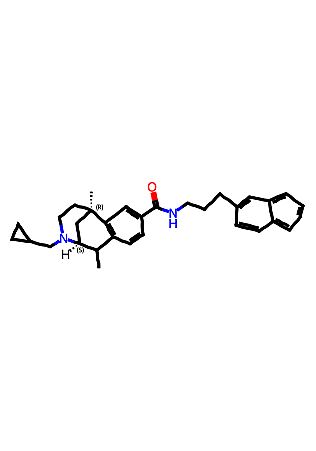 CC1c2ccc(C(=O)NCCCc3ccc4ccccc4c3)cc2[C@]2(C)CCN(CC3CC3)[C@H]1C2